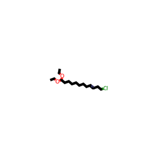 CCOC(CCCCCCC/C=C/CCCl)OCC